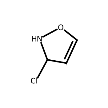 ClC1[C]=CON1